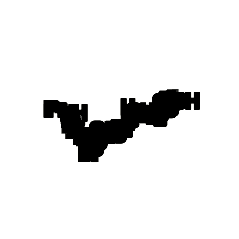 CCOc1ccc(-c2ccc(CNC(C)C)cc2)cc1S(=O)(=O)N1CCC2(CC1)CC(NCC(O)COc1cccc(S(=O)(=O)C3(CO)CC3)c1)CO2